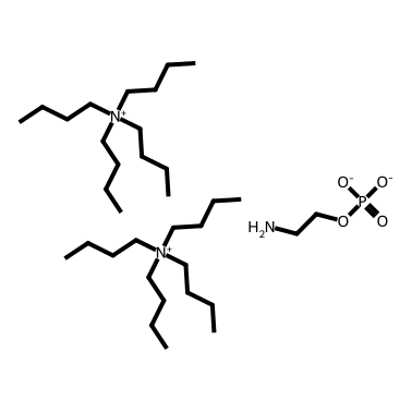 CCCC[N+](CCCC)(CCCC)CCCC.CCCC[N+](CCCC)(CCCC)CCCC.NCCOP(=O)([O-])[O-]